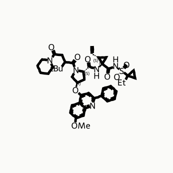 C=C[C@@H]1C[C@]1(NC(=O)[C@@H]1C[C@@H](Oc2cc(-c3ccccc3)nc3cc(OC)ccc23)CN1C(=O)C(CC(=O)N1CCCCC1)C(C)(C)C)C(=O)NS(=O)(=O)C1(CC)CC1